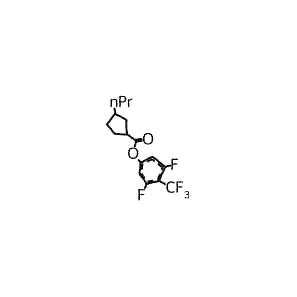 CCCC1CCC(C(=O)Oc2cc(F)c(C(F)(F)F)c(F)c2)C1